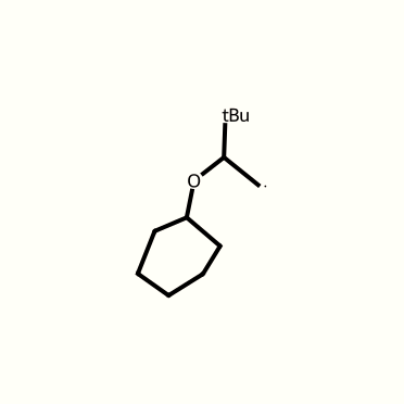 [CH2]C(OC1CCCCC1)C(C)(C)C